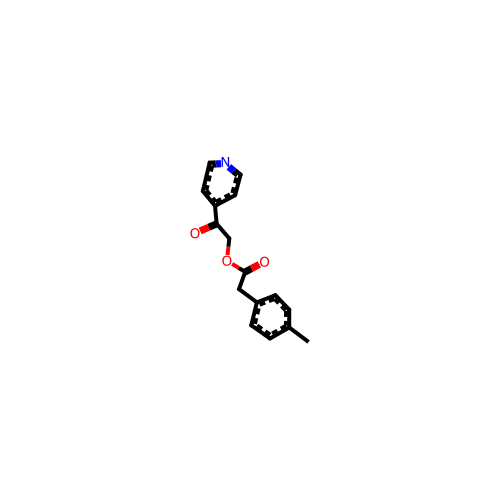 Cc1ccc(CC(=O)OCC(=O)c2ccncc2)cc1